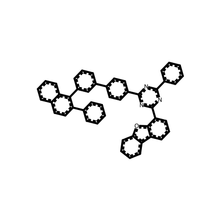 c1ccc(-c2nc(-c3ccc(-c4cccc(-c5c(-c6ccccc6)ccc6ccccc56)c4)cc3)nc(-c3cccc4c3oc3ccccc34)n2)cc1